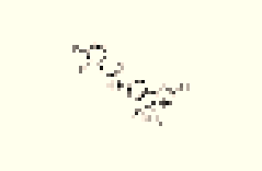 NS(=O)(=O)c1cc(NC(=O)Cc2cccc(F)c2F)ccc1-n1cc(Cl)cn1